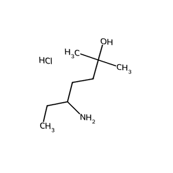 CCC(N)CCC(C)(C)O.Cl